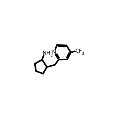 NC1CCCC1Cc1cc(C(F)(F)F)ccn1